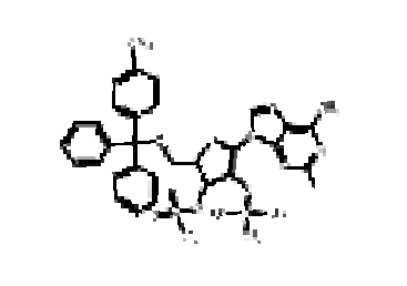 COc1ccc(C(OCC2OC(n3cnc4c(N)nc(Cl)nc43)C(O[Si](C)(C)C(C)(C)C)C2OS(=O)(=O)C(F)(F)F)(c2ccccc2)c2ccccc2)cc1